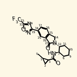 CC1CC1C(=O)N[C@@H]1CCCC[C@H]1N1Cc2ccc(-c3noc(C(F)(F)F)n3)cc2C1=O